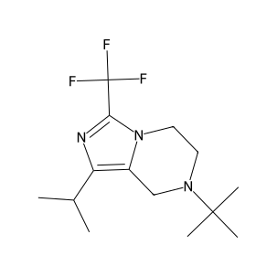 CC(C)c1nc(C(F)(F)F)n2c1CN(C(C)(C)C)CC2